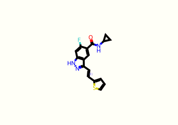 O=C(NC1CC1)c1cc2c(/C=C/c3cccs3)n[nH]c2cc1F